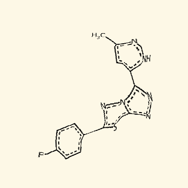 Cc1cc(-c2nnc3sc(-c4ccc(F)cc4)nn23)[nH]n1